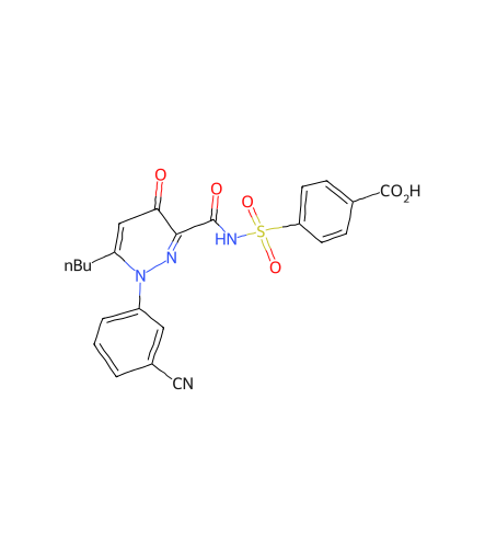 CCCCc1cc(=O)c(C(=O)NS(=O)(=O)c2ccc(C(=O)O)cc2)nn1-c1cccc(C#N)c1